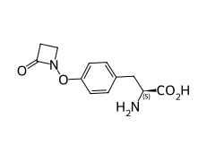 N[C@@H](Cc1ccc(ON2CCC2=O)cc1)C(=O)O